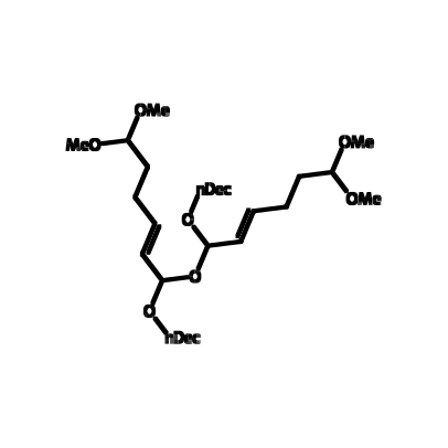 CCCCCCCCCCOC(C=CCCC(OC)OC)OC(C=CCCC(OC)OC)OCCCCCCCCCC